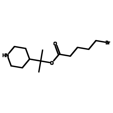 CC(C)(OC(=O)CCCCBr)C1CCNCC1